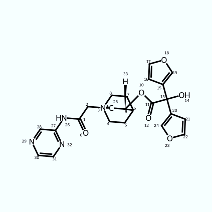 O=C(C[N+]12CCC(CC1)[C@@H](OC(=O)C(O)(c1ccoc1)c1ccoc1)C2)Nc1cnccn1